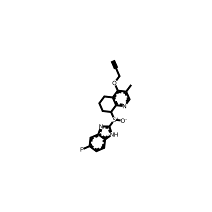 C#CCOc1c(C)cnc2c1CCCC2[S+]([O-])c1nc2cc(F)ccc2[nH]1